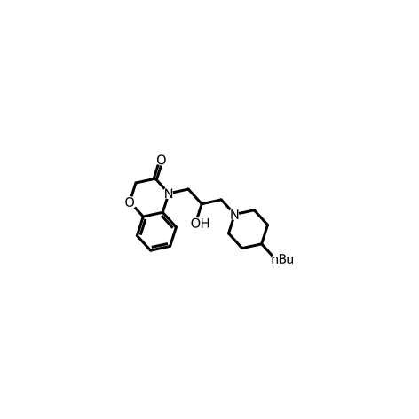 CCCCC1CCN(CC(O)CN2C(=O)COc3ccccc32)CC1